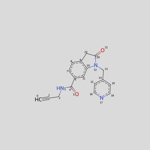 C#CCNC(=O)c1ccc2c(c1)N(Cc1ccncc1)C(=O)C2